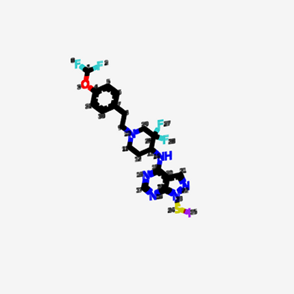 FC(F)Oc1ccc(CCN2CCC(Nc3ncnc4c3cnn4SI)C(F)(F)C2)cc1